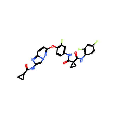 O=C(Nc1cn2nc(Oc3ccc(NC(=O)C4(C(=O)Nc5ccc(F)cc5F)CC4)cc3F)ccc2n1)C1CC1